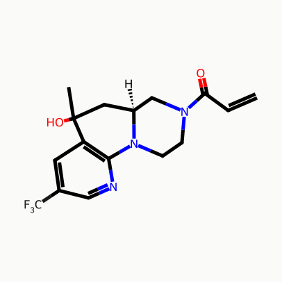 C=CC(=O)N1CCN2c3ncc(C(F)(F)F)cc3C(C)(O)C[C@H]2C1